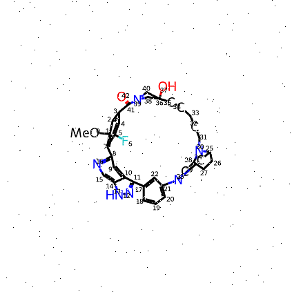 COc1cc2cc(F)c1-c1cc3c(n[nH]c3cn1)-c1cccc(c1)N1CC3CCC(C1)N3CCCCCC1(O)CN(C1)C2=O